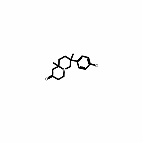 CC1(c2ccc(Cl)cc2)CCC2(C)CC(=O)CCN2C1